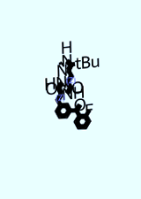 CC(C)(C)c1[nH]cnc1/C=c1\[nH]c(=O)/c(=C/c2cccc(C(=O)c3ccccc3F)c2)[nH]c1=O